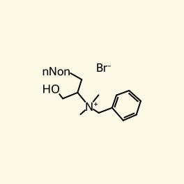 CCCCCCCCCCC(CO)[N+](C)(C)Cc1ccccc1.[Br-]